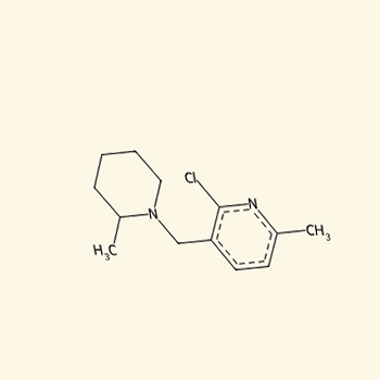 Cc1ccc(CN2CCCCC2C)c(Cl)n1